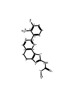 CCSC(=O)Nc1nc2c(s1)-c1nc(-c3cccc(F)c3C)ncc1CC2